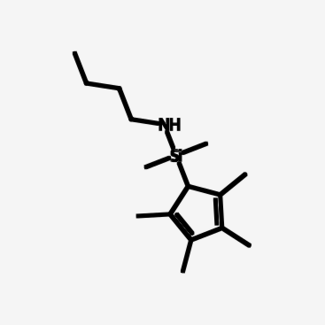 CCCCN[Si](C)(C)C1C(C)=C(C)C(C)=C1C